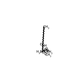 B[C@@H]1O[C@H](COC)[C@H](OP(=O)(O)OC)C1CCCNC(=O)CCCCCCCCCCCCCCC